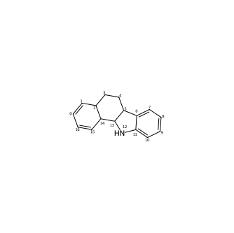 C1=CC2CCC3c4ccccc4NC3C2C=C1